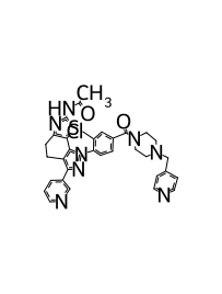 CC(=O)Nc1nc2c(s1)-c1c(c(-c3cccnc3)nn1-c1ccc(C(=O)N3CCN(Cc4ccncc4)CC3)cc1Cl)CC2